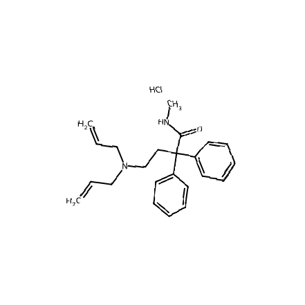 C=CCN(CC=C)CCC(C(=O)NC)(c1ccccc1)c1ccccc1.Cl